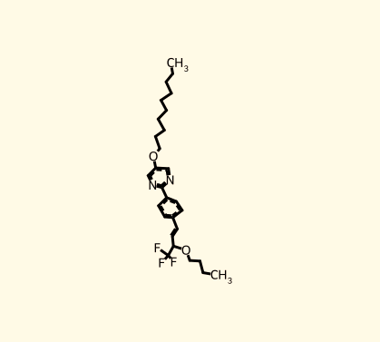 CCCCCCCCCCOc1cnc(-c2ccc(C=CC(OCCCC)C(F)(F)F)cc2)nc1